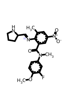 COc1ccc(N(C)C(=O)c2cc([N+](=O)[O-])cc(C)c2/N=C/C2CCCN2)cc1F